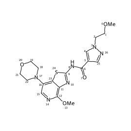 COCCn1cc(C(=O)Nc2nc3c(OC)ncc(N4CCOCC4)c3s2)cn1